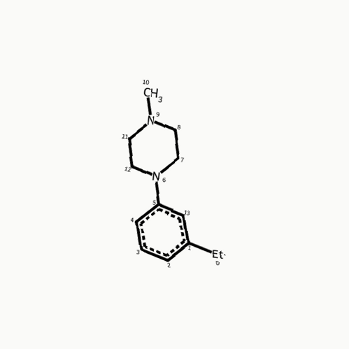 C[CH]c1cccc(N2CCN(C)CC2)c1